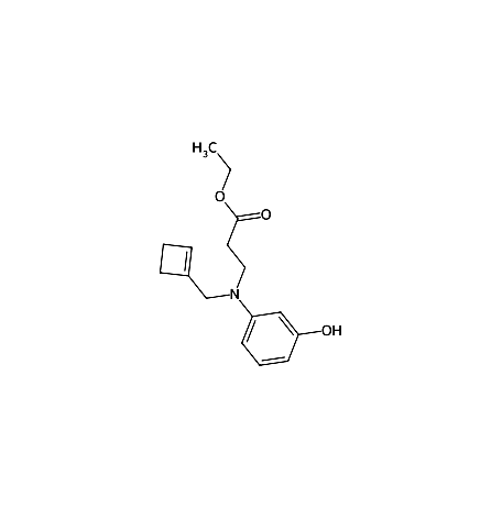 CCOC(=O)CCN(CC1=CCC1)c1cccc(O)c1